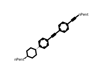 CCCCCC#Cc1ccc(C#Cc2ccc([C@H]3CC[C@H](CCCCC)CC3)cc2)cc1